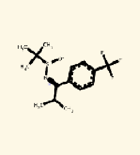 CC(C)/C(=N/[S+]([O-])C(C)(C)C)c1ccc(C(F)(F)F)cc1